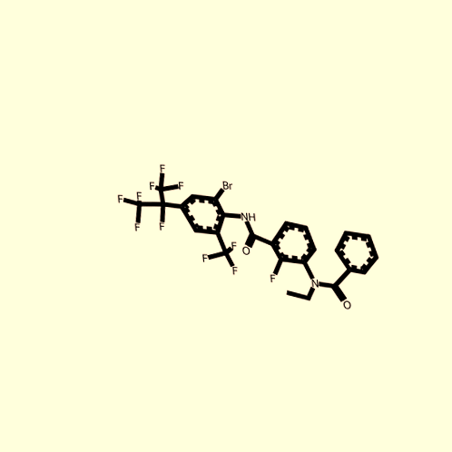 CCN(C(=O)c1ccccc1)c1cccc(C(=O)Nc2c(Br)cc(C(F)(C(F)(F)F)C(F)(F)F)cc2C(F)(F)F)c1F